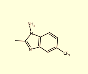 Cc1nc2cc(C(F)(F)F)ccc2n1N